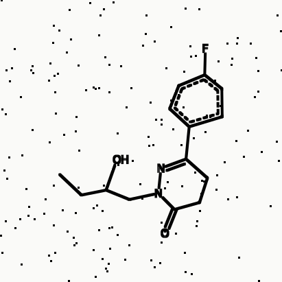 CCC(O)CN1N=C(c2ccc(F)cc2)CCC1=O